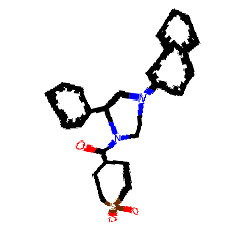 O=C(C1CCS(=O)(=O)CC1)N1CCN(c2ccc3ccccc3c2)CC1c1ccccc1